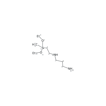 CCO[Si](C)(CCNCCCN)OCC